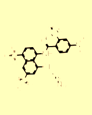 O=C(Nc1ccc(S(=O)(=O)[O-])c2cc(S(=O)(=O)[O-])cc(O)c12)c1ccc([N+](=O)[O-])cc1S(=O)(=O)[O-].[Na+].[Na+].[Na+]